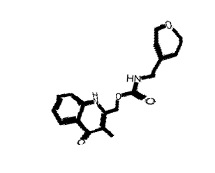 Cc1c(COC(=O)NCC2CCOCC2)[nH]c2ccccc2c1=O